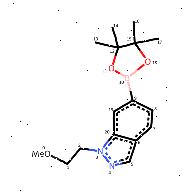 COCCn1ncc2ccc(B3OC(C)(C)C(C)(C)O3)cc21